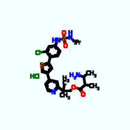 CC(C)NS(=O)(=O)Nc1ccc(-c2cc(-c3ccnc(C(C)(C)COC(=O)C(C)C(C)N)c3)cs2)c(Cl)c1.Cl